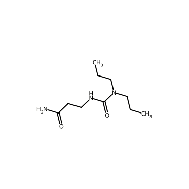 CCCN(CCC)C(=O)NCCC(N)=O